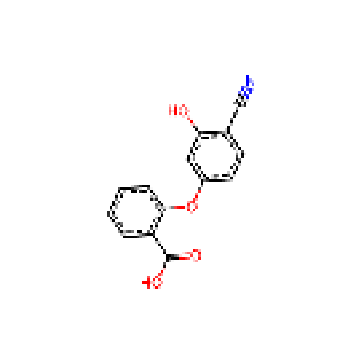 N#Cc1ccc(Oc2ccccc2C(=O)O)cc1O